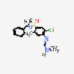 CCN(C)C=Nc1cc(C)c(S(C)(=O)=NCc2ccccc2)cc1Cl